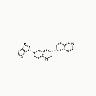 c1cc2cc(-c3cnc4ccc(-c5csc6ccsc56)cc4c3)ccc2cn1